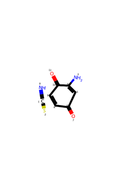 N=C=S.NC1=CC(=O)C=CC1=O